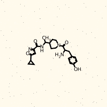 CC(NC(=O)c1cc(C2CC2)on1)C1CCN(C(=O)C(N)Cc2ccc(O)cc2)CC1